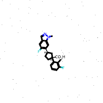 Cc1c(F)cccc1[C@]1(C(=O)O)CC[C@@H](c2cc3c(cnn3C)cc2F)C1